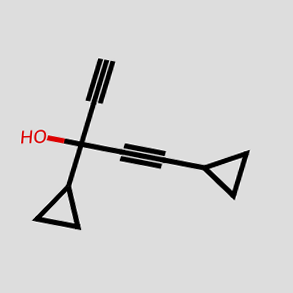 C#CC(O)(C#CC1CC1)C1CC1